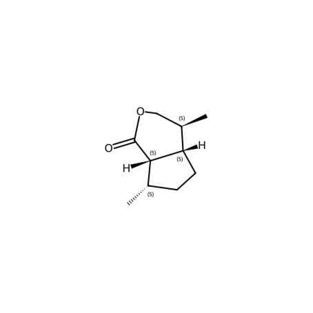 C[C@@H]1COC(=O)[C@@H]2[C@H]1CC[C@@H]2C